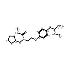 CCNC(=O)N(CCOc1ccc(CC(OCC)C(=O)O)cc1)CC1CCCC1